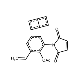 C=Cc1cccc(N2C(=O)C=CC2=O)c1OC(C)=O.c1cc2ccc1-2